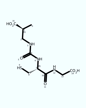 C[C@@H](CNC(=O)N[C@@H](CS)C(=O)NCC(=O)O)C(=O)O